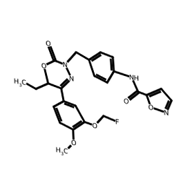 CCC1OC(=O)N(Cc2ccc(NC(=O)c3ccno3)cc2)N=C1c1ccc(OC)c(OCF)c1